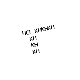 Cl.[KH].[KH].[KH].[KH].[KH].[KH]